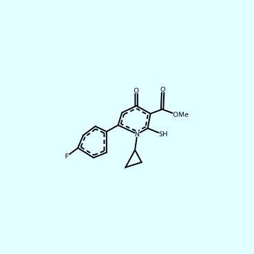 COC(=O)c1c(S)n(C2CC2)c(-c2ccc(F)cc2)cc1=O